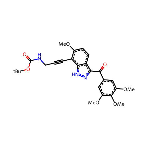 COc1cc(C(=O)c2n[nH]c3c(C#CCNC(=O)OC(C)(C)C)c(OC)ccc23)cc(OC)c1OC